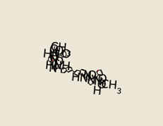 COC(=O)NC(C(=O)N1CCC[C@H]1c1nc2ccc3cc(-c4ccc5cc(-c6cnc([C@@H]7[C@H]8CC[C@H](C8)N7C(=O)[C@@H](NC(=O)OC)C7CCOCC7)[nH]6)ccc5c4)ccc3c2[nH]1)c1ccccc1